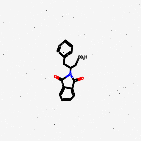 O=C(O)CC(Cc1ccccc1)N1C(=O)c2ccccc2C1=O